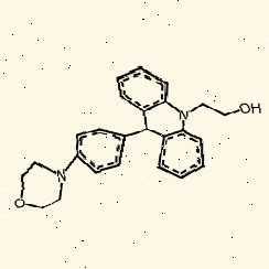 OCCN1c2ccccc2C(c2ccc(N3CCOCC3)cc2)c2ccccc21